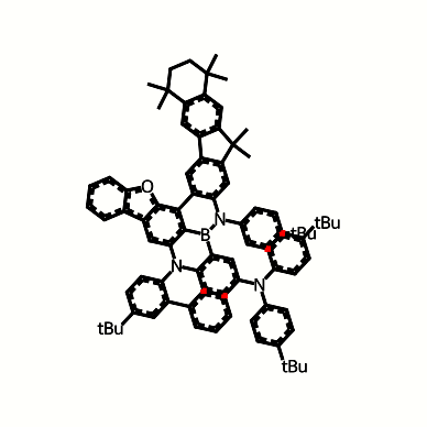 CC(C)(C)c1ccc(N2B3c4cc(N(c5ccc(C(C)(C)C)cc5)c5ccc(C(C)(C)C)cc5)ccc4N(c4ccc(C(C)(C)C)cc4-c4ccccc4)c4cc5c(oc6ccccc65)c(c43)-c3cc4c(cc32)C(C)(C)c2cc3c(cc2-4)C(C)(C)CCC3(C)C)cc1